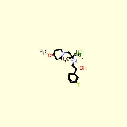 COC1CCN(CC(C)(C)NC[C@H](O)c2cccc(F)c2)CC1.Cl.Cl